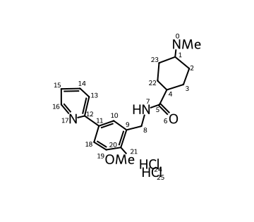 CNC1CCC(C(=O)NCc2cc(-c3ccccn3)ccc2OC)CC1.Cl.Cl